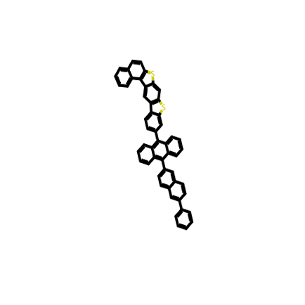 c1ccc(-c2ccc3cc(-c4c5ccccc5c(-c5ccc6c(c5)sc5cc7sc8ccc9ccccc9c8c7cc56)c5ccccc45)ccc3c2)cc1